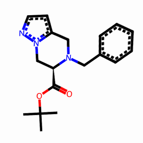 CC(C)(C)OC(=O)[C@H]1Cn2nccc2CN1Cc1ccccc1